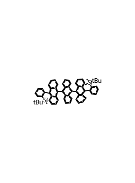 CC(C)(C)[Si](C)(C)c1ccccc1-c1c2ccccc2c(-c2c3ccccc3c(-c3c4ccccc4c(-c4ccccc4[Si](C)(C)C(C)(C)C)c4ccccc34)c3ccccc23)c2ccccc12